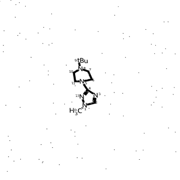 Cn1cnc(N2CCN(C(C)(C)C)CC2)n1